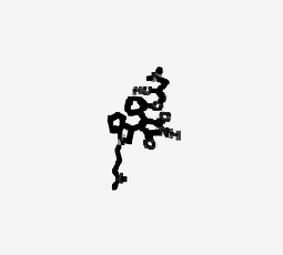 CN(C)CCCn1cc(C2=C(c3ccccc3OCC(O)CN(C)C)C(=O)NC2=O)c2ccccc21